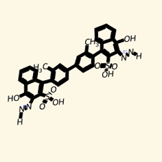 [H]/N=N/c1c(S(=O)(=O)O)c(-c2ccc(-c3ccc(-c4c(S(=O)(=O)O)c(/N=N/[H])c(O)c5ccccc45)c(C)c3)cc2C)c2ccccc2c1O